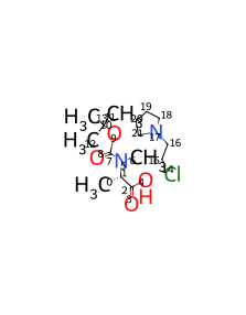 C[C@@H](C(=O)O)N(C)C(=O)OC(C)(C)C.ClCCN1CCCC1